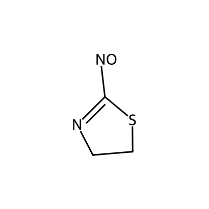 O=NC1=NCCS1